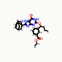 CCCC(Oc1nc2nc(C34CC5=CC(CC5C3)C4)[nH]c2c(=O)[nH]1)c1cccc(C(=O)OCC)c1